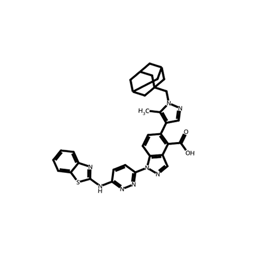 Cc1c(-c2ccc3c(cnn3-c3ccc(Nc4nc5ccccc5s4)nn3)c2C(=O)O)cnn1CC12CC3CC(CC(C3)C1)C2